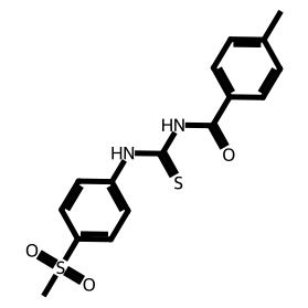 Cc1ccc(C(=O)NC(=S)Nc2ccc(S(C)(=O)=O)cc2)cc1